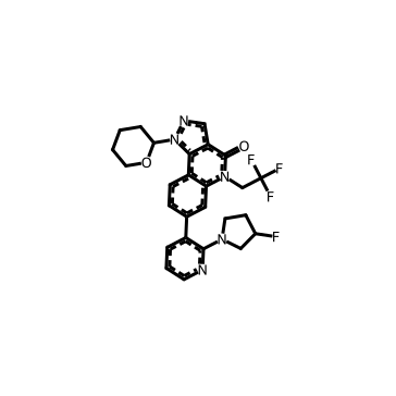 O=c1c2cnn(C3CCCCO3)c2c2ccc(-c3cccnc3N3CCC(F)C3)cc2n1CC(F)(F)F